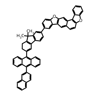 CC1(C)C2=C(C=C(c3c4ccccc4c(-c4ccc5ccccc5c4)c4ccccc34)CC2)c2ccc(-c3ccc4oc5cc6c(ccc7oc8ccccc8c76)cc5c4c3)cc21